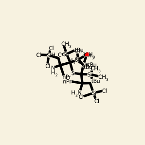 CCCC(N)(C[Si](Cl)(Cl)Cl)C(SC(C(N)(CCC)C[Si](Cl)(Cl)Cl)([Si](C)(C)C(C)(C)C)[Si](C)(C)C(C)(C)C)([Si](C)(C)C(C)(C)C)[Si](C)(C)C(C)(C)C